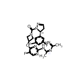 CC(=N)/N=C(/C)Nc1ncc(F)c(OC2CN(C(=O)N3N=CC[C@H]3c3cc(F)cc(F)c3)C2)n1